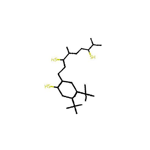 CC(C)C(S)CCC(C)C(S)CCC1CC(C(C)(C)C)C(C(C)(C)C)CC1S